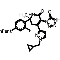 CCCCCc1ccc([C@]2(C)CC(c3ccn(CC4CC4)n3)=C(n3nn[nH]c3=O)C(=O)N2)c(F)c1